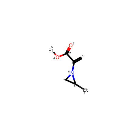 C=C(C(=O)OCC)N1CC1CC